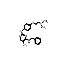 Cc1cnc(Nc2ccc(OCCN(C)C)cc2)nc1NCc1ccccc1